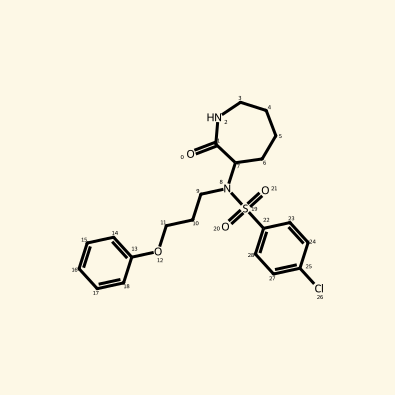 O=C1NCCCCC1N(CCCOc1ccccc1)S(=O)(=O)c1ccc(Cl)cc1